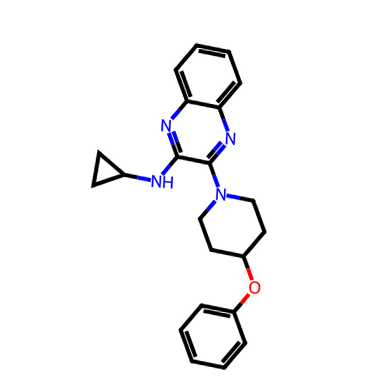 c1ccc(OC2CCN(c3nc4ccccc4nc3NC3CC3)CC2)cc1